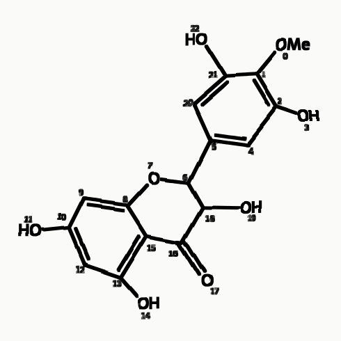 COc1c(O)cc(C2Oc3cc(O)cc(O)c3C(=O)C2O)cc1O